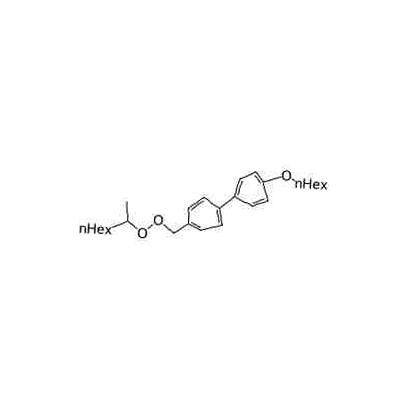 CCCCCCOc1ccc(-c2ccc(COOC(C)CCCCCC)cc2)cc1